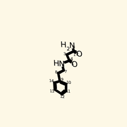 NC(=O)CC(=O)NC[CH]c1ccccc1